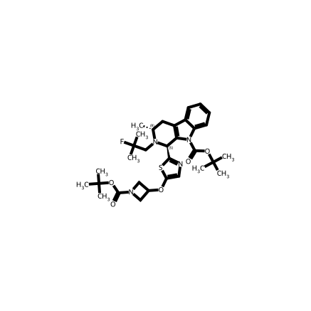 C[C@@H]1Cc2c(n(C(=O)OC(C)(C)C)c3ccccc23)[C@@H](c2ncc(OC3CN(C(=O)OC(C)(C)C)C3)s2)N1CC(C)(C)F